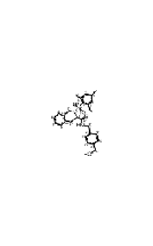 Cc1cc(C)c(S(=O)(=O)N2Cc3ccccc3CC2C(=O)NCc2ccc(CO)cc2)c(C)c1